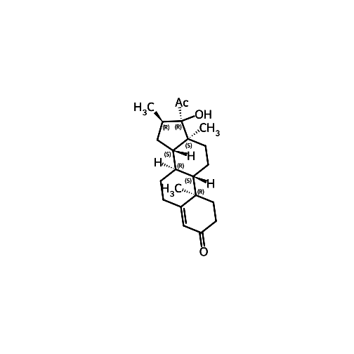 CC(=O)[C@@]1(O)[C@H](C)C[C@H]2[C@@H]3CCC4=CC(=O)CC[C@]4(C)[C@H]3CC[C@@]21C